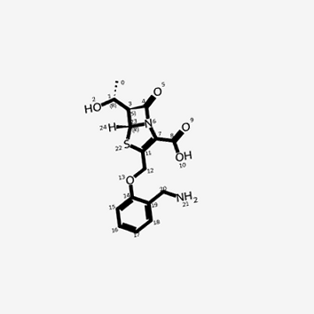 C[C@@H](O)[C@H]1C(=O)N2C(C(=O)O)=C(COc3ccccc3CN)S[C@H]12